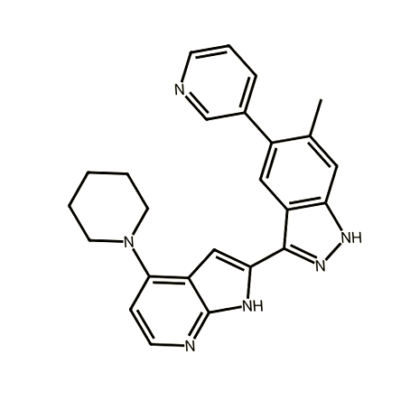 Cc1cc2[nH]nc(-c3cc4c(N5CCCCC5)ccnc4[nH]3)c2cc1-c1cccnc1